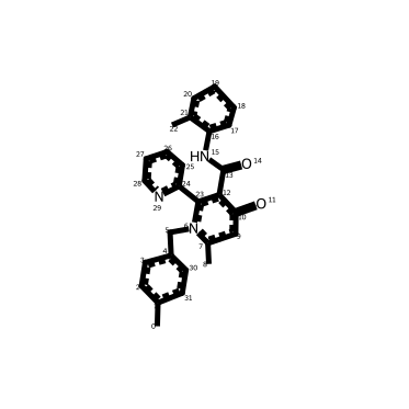 Cc1ccc(Cn2c(C)cc(=O)c(C(=O)Nc3ccccc3C)c2-c2ccccn2)cc1